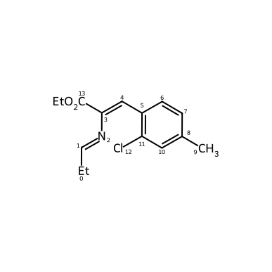 CC/C=N/C(=C\c1ccc(C)cc1Cl)C(=O)OCC